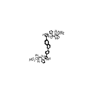 COC(=O)N[C@H](C(=O)N1[C@@H](C)CC[C@H]1c1nc(-c2ccc3cc(-c4ccc(-c5c[nH]c([C@@H]6CC[C@H](C)N6C(=O)[C@@H](NC(=O)O)C(C)C)n5)cc4)ccc3c2)c[nH]1)C(C)C